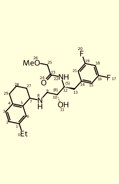 CCc1ccc2c(c1)C(NC[C@@H](O)[C@H](Cc1cc(F)cc(F)c1)NC(=O)COC)CCC2